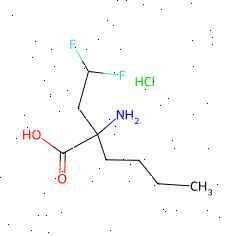 CCCCC(N)(CC(F)F)C(=O)O.Cl